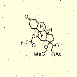 COCO[C@]1(C(=O)COC(C)=O)CC[C@H]2[C@@H]3CCC4=CC(=O)CC[C@]4(C)[C@@]3(F)[C@@H](OC(=O)C(F)(F)F)C[C@@]21C